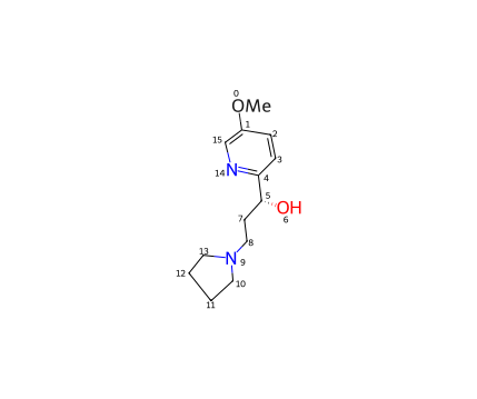 COc1ccc([C@H](O)CCN2CCCC2)nc1